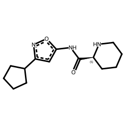 O=C(Nc1cc(C2CCCC2)no1)[C@@H]1CCCCN1